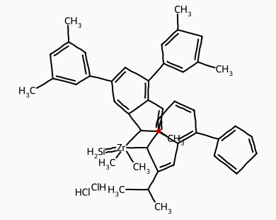 CC1=Cc2c(-c3cc(C)cc(C)c3)cc(-c3cc(C)cc(C)c3)cc2[CH]1[Zr]([CH3])([CH3])(=[SiH2])[CH]1C(C(C)C)=Cc2c(-c3ccccc3)cccc21.Cl.Cl